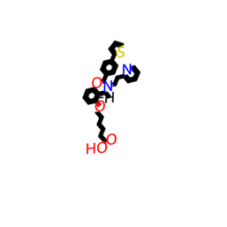 [2H]C(c1ccccc1OCCCCCC(=O)O)N(CCc1ccccn1)C(=O)c1ccc(-c2cccs2)cc1